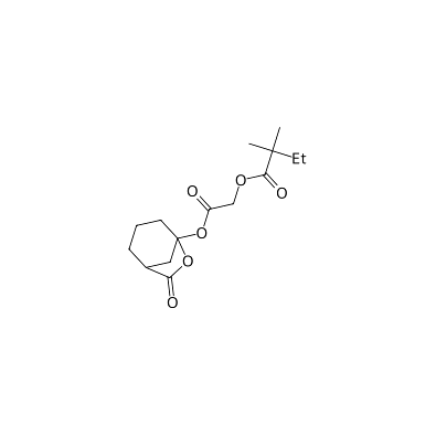 CCC(C)(C)C(=O)OCC(=O)OC12CCCC(C1)C(=O)O2